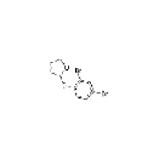 Brc1ccc(OC2CCCO2)c(Br)c1